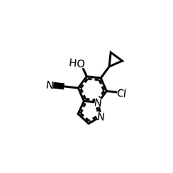 N#Cc1c(O)c(C2CC2)c(Cl)n2nccc12